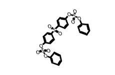 O=S(=O)(Oc1ccccc1)Oc1ccc(S(=O)(=O)c2ccc(OS(=O)(=O)Oc3ccccc3)cc2)cc1